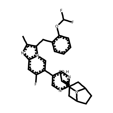 Cc1nc2cc(F)c(-c3cnc(N4C5CCC4CC(=CC(=O)O)C5)nc3)cn2c1Cc1ccccc1OC(F)F